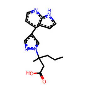 CCCC(C)(CC(=O)O)n1cc(-c2ccnc3[nH]ccc23)cn1